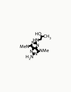 CNc1nc(NCC(C)O)nc2c(NC)nc(N)nc12